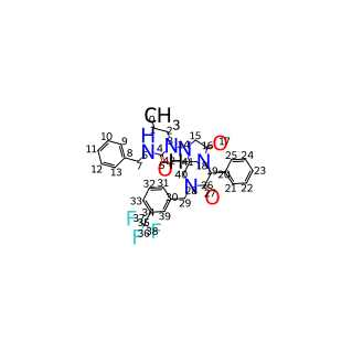 CCCN(C(=O)NCc1ccccc1)N1CC(=O)N2[C@@H](c3ccccc3)C(=O)N(Cc3cccc(C(F)(F)F)c3)C[C@@H]21